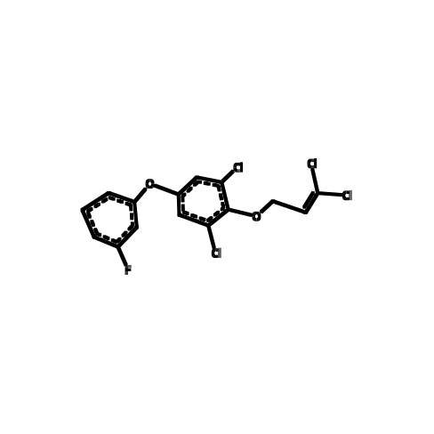 Fc1cccc(Oc2cc(Cl)c(OCC=C(Cl)Cl)c(Cl)c2)c1